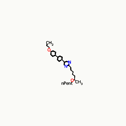 C=CCOc1ccc(-c2ccc(-c3cnc(C=CCCCC(C)OCCCCC)nc3)cc2)cc1